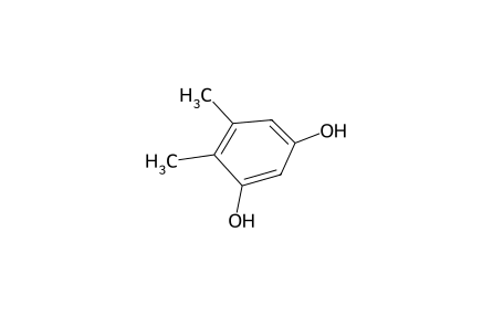 Cc1cc(O)cc(O)c1C